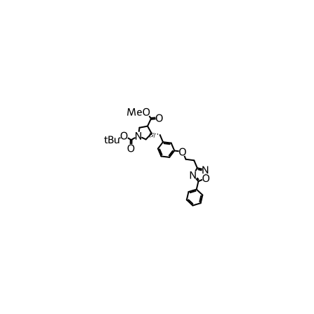 COC(=O)C1CN(C(=O)OC(C)(C)C)C[C@H]1Cc1cccc(OCCc2noc(-c3ccccc3)n2)c1